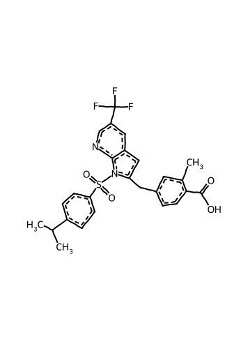 Cc1cc(Cc2cc3cc(C(F)(F)F)cnc3n2S(=O)(=O)c2ccc(C(C)C)cc2)ccc1C(=O)O